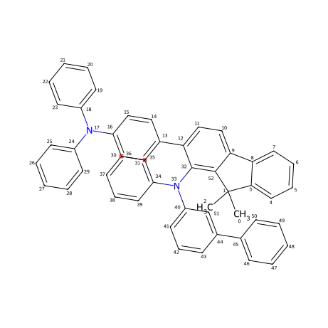 CC1(C)c2ccccc2-c2ccc(-c3ccc(N(c4ccccc4)c4ccccc4)cc3)c(N(c3ccccc3)c3cccc(-c4ccccc4)c3)c21